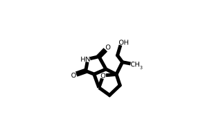 CC(CO)C12CCC(O1)C1C(=O)NC(=O)C12